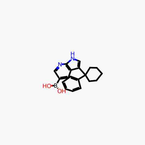 OB(O)c1cnc2[nH]cc(C3(c4ccccc4)CCCCC3)c2c1